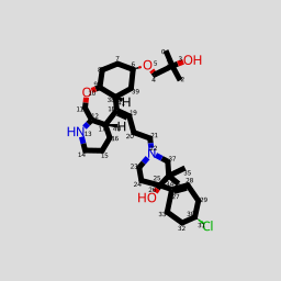 CC(C)(O)CO[C@H]1CCC2OCC3NCCC[C@H]3/C(=C\CCN3CCC(O)(C4=CC[C@H](Cl)CC4)C(C)(C)C3)[C@H]2C1